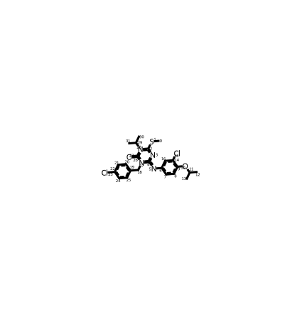 CSc1n/c(=N\c2ccc(OC(C)C)c(Cl)c2)n(Cc2ccc(Cl)cc2)c(=O)n1C(C)C